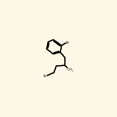 CC(CCBr)Cc1ccccc1Br